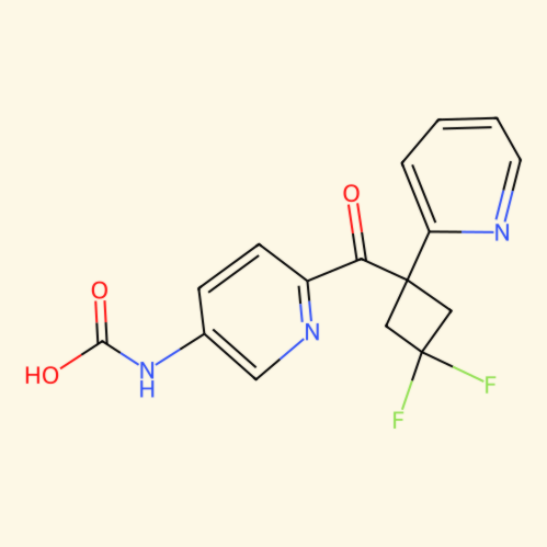 O=C(O)Nc1ccc(C(=O)C2(c3ccccn3)CC(F)(F)C2)nc1